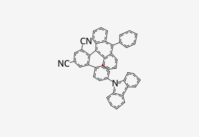 N#Cc1cc(C#N)c(-c2c3ccccc3c(-c3ccccc3)c3ccccc23)c(-c2ccc(-n3c4ccccc4c4ccccc43)cc2)c1